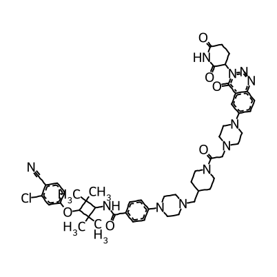 CC1(C)C(NC(=O)c2ccc(N3CCN(CC4CCN(C(=O)CN5CCN(c6ccc7nnn(C8CCC(=O)NC8=O)c(=O)c7c6)CC5)CC4)CC3)cc2)C(C)(C)C1Oc1ccc(C#N)c(Cl)c1